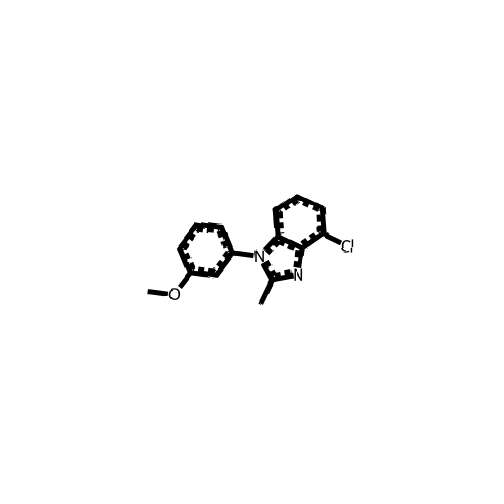 COc1cccc(-n2c(C)nc3c(Cl)cccc32)c1